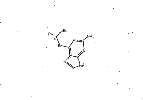 CC[C@@H](Nc1nc(N)nc2[nH]cnc12)C(C)(C)C